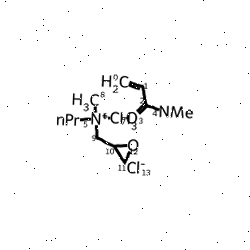 C=CC(=O)NC.CCC[N+](C)(C)CC1CO1.[Cl-]